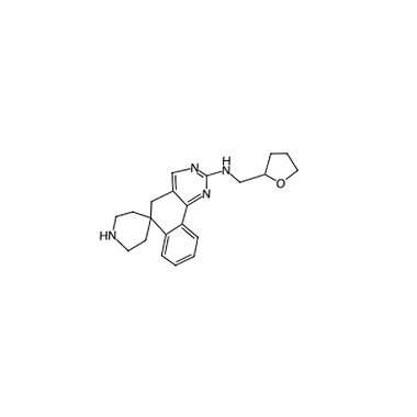 c1ccc2c(c1)-c1nc(NCC3CCCO3)ncc1CC21CCNCC1